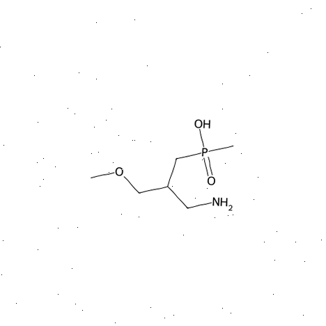 COCC(CN)CP(C)(=O)O